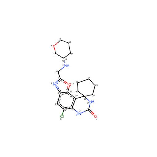 O=C1Nc2c(Cl)cc3nc(CN[C@H]4CCCOC4)oc3c2C2(CCCCC2)N1